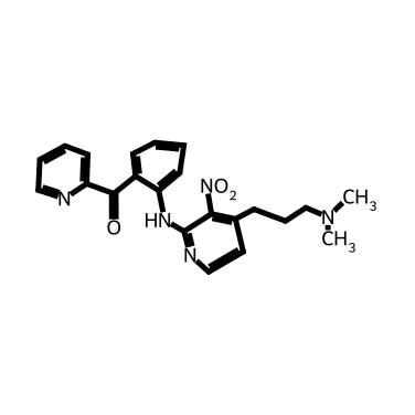 CN(C)CCCc1ccnc(Nc2ccccc2C(=O)c2ccccn2)c1[N+](=O)[O-]